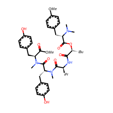 CC[C@@H](C)[C@H](OC(=O)[C@H](Cc1ccc(OC)cc1)N(C)C)C(=O)N[C@H](C(=O)N(C)[C@H](Cc1ccc(O)cc1)C(=O)N(C)[C@@H](Cc1ccc(O)cc1)C(=O)OC)C(C)C